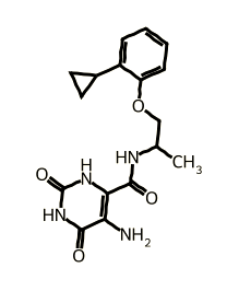 CC(COc1ccccc1C1CC1)NC(=O)c1[nH]c(=O)[nH]c(=O)c1N